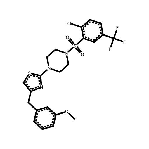 COc1cccc(Cc2csc(N3CCN(S(=O)(=O)c4cc(C(F)(F)F)ccc4Cl)CC3)n2)c1